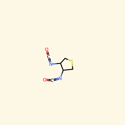 O=C=NC1CSCC1N=C=O